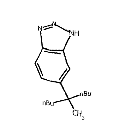 CCCCC(C)(CCCC)c1ccc2nn[nH]c2c1